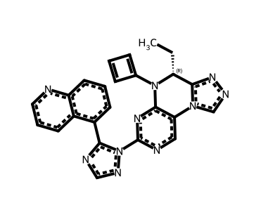 CC[C@@H]1c2nncn2-c2cnc(-n3ncnc3-c3cccc4ncccc34)nc2N1C1=CC=C1